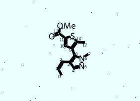 C/C=C\c1cnn(C)c1-c1cc(C(=O)OC)sc1C